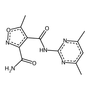 Cc1cc(C)nc(NC(=O)c2c(C(N)=O)noc2C)n1